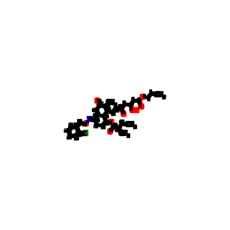 C=CCOC(=O)CC(O)CC(=O)CCC1C(C)C(=O)C=C2C(=NOCc3ccccc3Cl)CCC(OC(=O)C(C)CC)C21